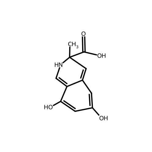 CC1(C(=O)O)C=c2cc(O)cc(O)c2=CN1